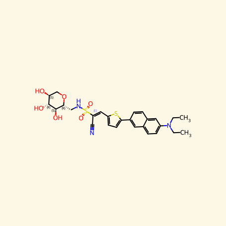 CCN(CC)c1ccc2cc(-c3ccc(/C=C(\C#N)S(=O)(=O)NC[C@H]4OC[C@H](O)[C@@H](O)[C@@H]4O)s3)ccc2c1